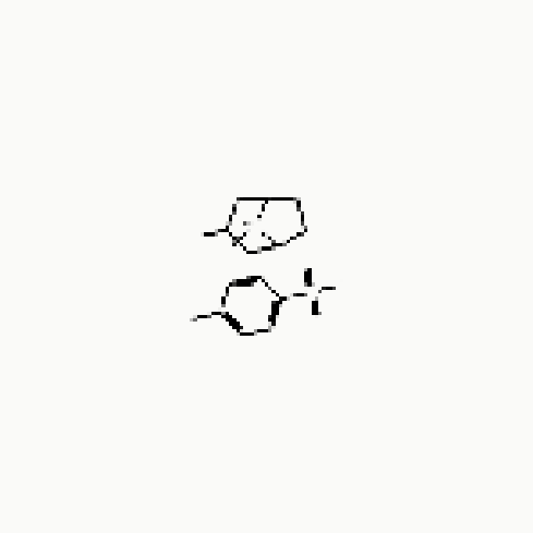 C[N+]1(C)C2CCC1CC(O)C2.Cc1ccc(S(=O)(=O)[O-])cc1